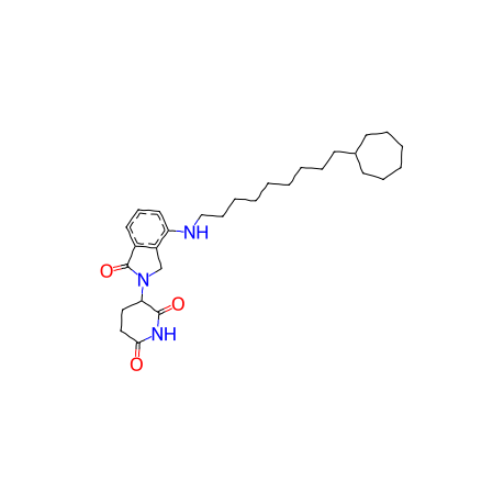 O=C1CCC(N2Cc3c(NCCCCCCCCCC4CCCCCC4)cccc3C2=O)C(=O)N1